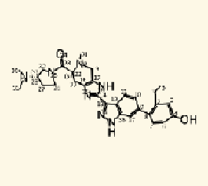 CCc1cc(O)ccc1-c1ccc2c(-c3nc4c([nH]3)CN(C)[C@H](C(=O)N3CC[C@H](N(C)C)C3)C4)n[nH]c2c1